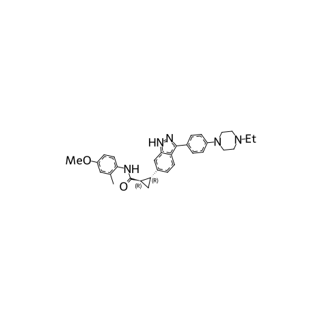 CCN1CCN(c2ccc(-c3n[nH]c4cc([C@@H]5C[C@H]5C(=O)Nc5ccc(OC)cc5C)ccc34)cc2)CC1